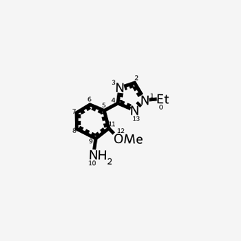 CCn1cnc(-c2cccc(N)c2OC)n1